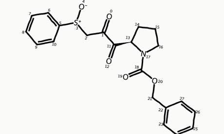 O=C(C[S+]([O-])c1ccccc1)C(=O)[C@H]1CCCN1C(=O)OCc1ccccc1